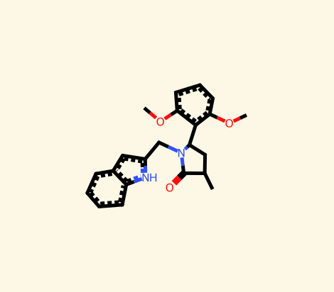 COc1cccc(OC)c1C1CC(C)C(=O)N1Cc1cc2ccccc2[nH]1